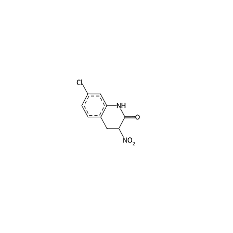 O=C1Nc2cc(Cl)ccc2CC1[N+](=O)[O-]